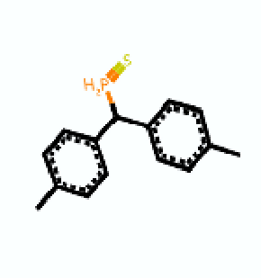 Cc1ccc(C([PH2]=S)c2ccc(C)cc2)cc1